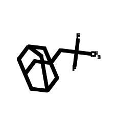 FC(F)(F)C(F)(F)CC12CC3CC(CC(C3)C1)C2